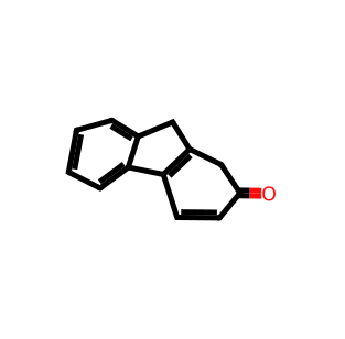 O=C1C=CC2=C(C1)Cc1ccccc12